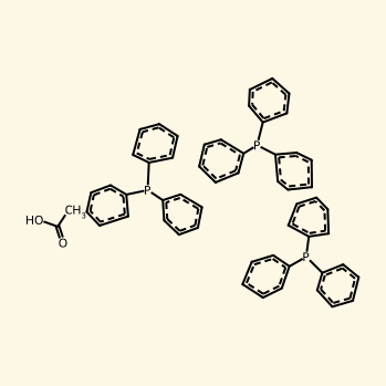 CC(=O)O.c1ccc(P(c2ccccc2)c2ccccc2)cc1.c1ccc(P(c2ccccc2)c2ccccc2)cc1.c1ccc(P(c2ccccc2)c2ccccc2)cc1